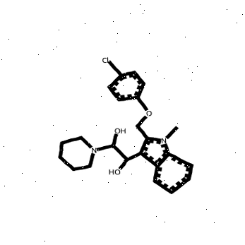 Cn1c(COc2ccc(Cl)cc2)c(C(O)C(O)N2CCCCC2)c2ccccc21